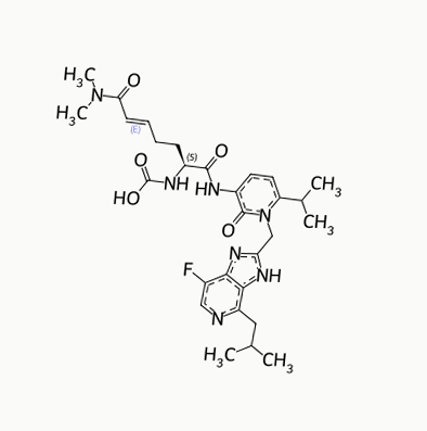 CC(C)Cc1ncc(F)c2nc(Cn3c(C(C)C)ccc(NC(=O)[C@H](CC/C=C/C(=O)N(C)C)NC(=O)O)c3=O)[nH]c12